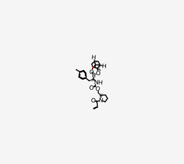 C=CC(=O)N1CCC[C@@H]1COC(=O)N[C@@H](Cc1ccc(C)cc1)B1OC2C[C@@H]3C[C@@H](C3(C)C)[C@]2(C)O1